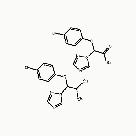 CC(C)(C)C(=O)C(Oc1ccc(Cl)cc1)n1cncn1.CC(C)(C)C(O)C(Oc1ccc(Cl)cc1)n1cncn1